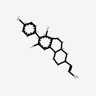 C/C=C/C1CCC2c3cc(F)c(-c4ccc(Cl)cc4)c(F)c3CCC2C1